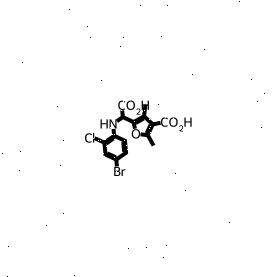 Cc1oc(C(Nc2ccc(Br)cc2Cl)C(=O)O)c(C)c1C(=O)O